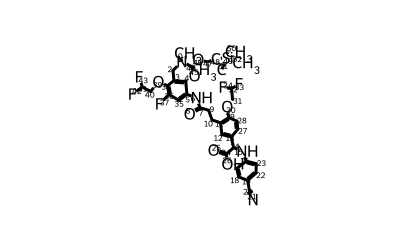 CN(Cc1cc(NC(=O)CCc2cc(C(Nc3ccc(C#N)cc3)C(=O)O)ccc2OCC(F)F)cc(F)c1OCC(F)F)C(=O)OCC[Si](C)(C)C